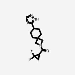 O=C(C1CC1(F)F)N1CC2(CCC(c3ncn[nH]3)CC2)C1